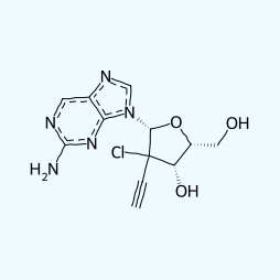 C#CC1(Cl)[C@@H](O)[C@@H](CO)O[C@H]1n1cnc2cnc(N)nc21